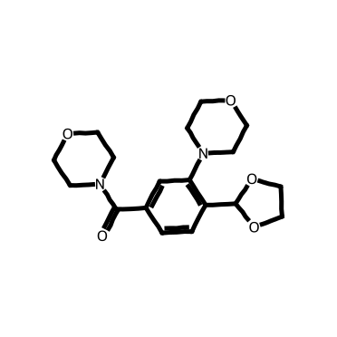 O=C(c1ccc(C2OCCO2)c(N2CCOCC2)c1)N1CCOCC1